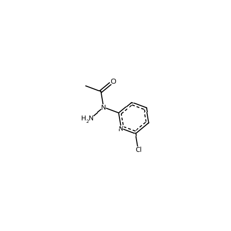 CC(=O)N(N)c1cccc(Cl)n1